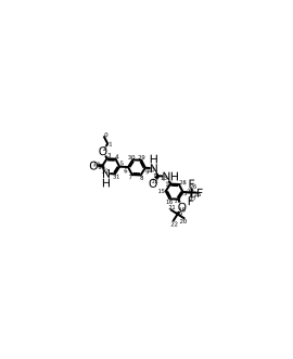 CCOc1cc(-c2ccc(NC(=O)Nc3ccc(OC(C)(C)C)c(C(F)(F)F)c3)cc2)c[nH]c1=O